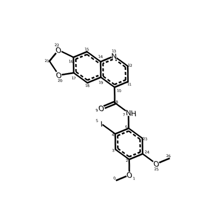 COc1cc(I)c(NC(=O)c2ccnc3cc4c(cc23)OCO4)cc1OC